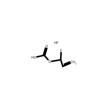 C=CC(F)OC(=O)O.F